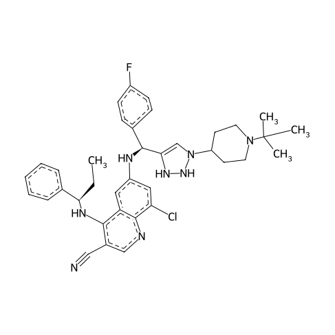 CC[C@@H](Nc1c(C#N)cnc2c(Cl)cc(N[C@H](C3=CN(C4CCN(C(C)(C)C)CC4)NN3)c3ccc(F)cc3)cc12)c1ccccc1